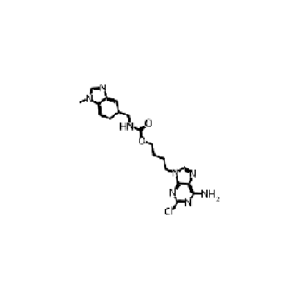 Cn1cnc2c1=CCC(CNC(=O)OCCCCn1cnc3c(N)nc(Cl)nc31)C=2